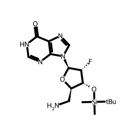 CC(C)(C)[Si](C)(C)O[C@H]1[C@@H](F)[C@H](n2cnc3c(=O)[nH]cnc32)O[C@@H]1CN